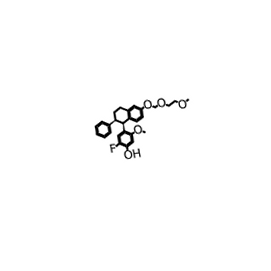 COCCOCOc1ccc2c(c1)CC[C@H](c1ccccc1)[C@@H]2c1cc(F)c(O)cc1OC